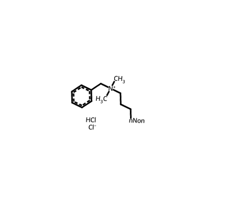 CCCCCCCCCCCC[N+](C)(C)Cc1ccccc1.Cl.[Cl-]